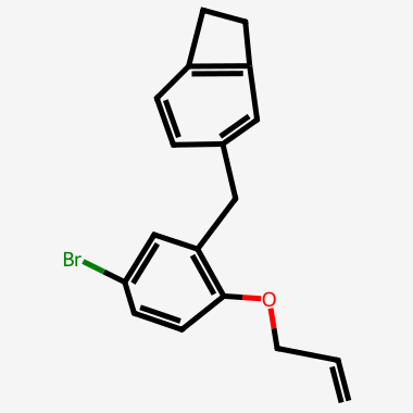 C=CCOc1ccc(Br)cc1Cc1ccc2c(c1)CC2